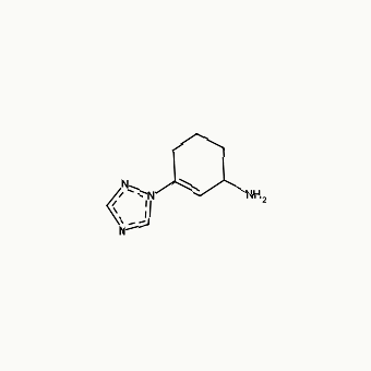 NC1C=C(n2cncn2)CCC1